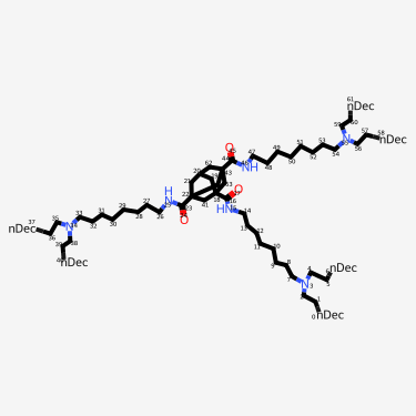 CCCCCCCCCCCCN(CCCCCCCCCCCC)CCCCCCCCNC(=O)C12CC3CC(C(=O)NCCCCCCCCN(CCCCCCCCCCCC)CCCCCCCCCCCC)(C1)CC(C(=O)NCCCCCCCCN(CCCCCCCCCCCC)CCCCCCCCCCCC)(C3)C2